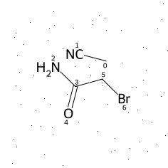 CC#N.NC(=O)CBr